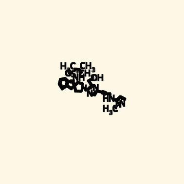 CC(C)C(C)[S+]([O-])N[C@@H]1c2ccccc2CC12CCN(c1ncc(C#CCNc3ccnn3C)nc1CO)CC2